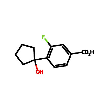 O=C(O)c1ccc(C2(O)CCCC2)c(F)c1